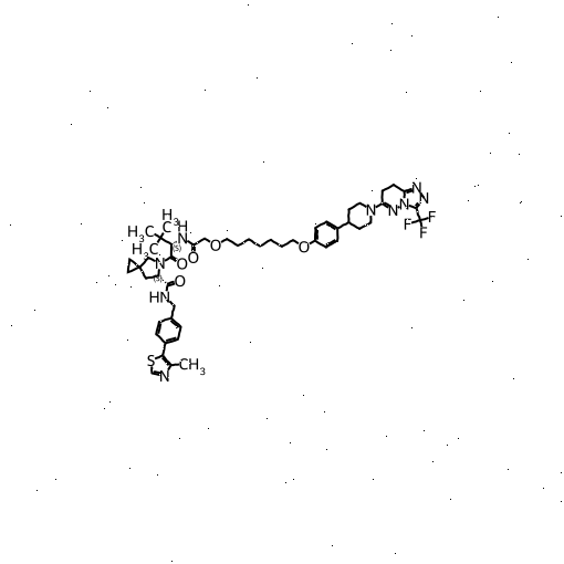 Cc1ncsc1-c1ccc(CNC(=O)[C@@H]2CC3(CC3)CN2C(=O)[C@@H](NC(=O)COCCCCCCCOc2ccc(C3CCN(C4=Nn5c(nnc5C(F)(F)F)CC4)CC3)cc2)C(C)(C)C)cc1